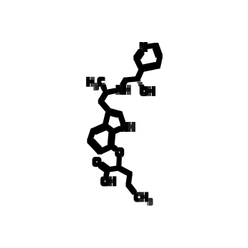 CCCC(Oc1cccc2c(C[C@@H](C)NC[C@@H](O)c3cccnc3)c[nH]c12)C(=O)O